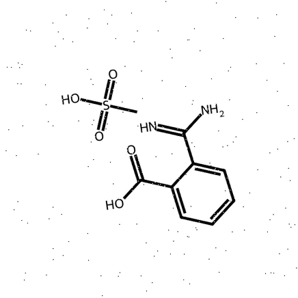 CS(=O)(=O)O.N=C(N)c1ccccc1C(=O)O